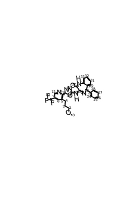 COCCCc1cc(C(F)(F)F)cnc1-c1nnc(N[C@H]2N=C(c3ccccc3)c3ccccc3NC2=O)o1